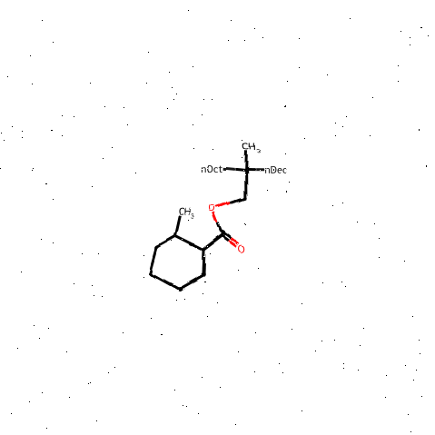 CCCCCCCCCCC(C)(CCCCCCCC)COC(=O)C1CCCCC1C